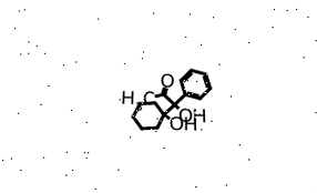 CC(=O)C(O)(c1ccccc1)C1(O)CCCCC1